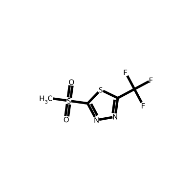 CS(=O)(=O)c1nnc(C(F)(F)F)s1